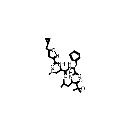 COCC(NC(=O)c1cc(CC2CC2)on1)C(=O)N[C@@H](Cc1ccccc1)C(=O)NC(CC(C)C)C(=O)C1(C)CO1